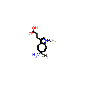 Cn1cc(CCC(=O)O)c2c1C=CC(C)(N)C=C2